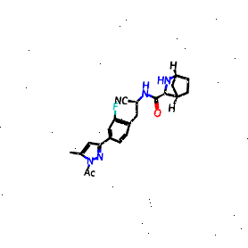 CC(=O)n1nc(-c2ccc(C[C@@H](C#N)NC(=O)[C@H]3N[C@@H]4CC[C@H]3C4)c(F)c2)cc1C